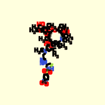 CC[C@H]1OC(=O)[C@H](C)[C@@H](O[C@H]2C[C@@](C)(OC)[C@@H](O)[C@H](C)O2)[C@H](C)[C@@H](O[C@H]2C[C@@H](N(C)CCc3cn(C(CF)CNS(=O)(=O)c4ccc([N+](=O)[O-])cc4)nn3)C[C@@H](C)O2)[C@](C)(O)C[C@@H](C)CN(C)[C@H](C)[C@@H](O)[C@]1(C)O